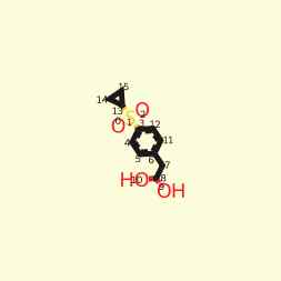 O=S(=O)(c1ccc(CC(O)O)cc1)C1CC1